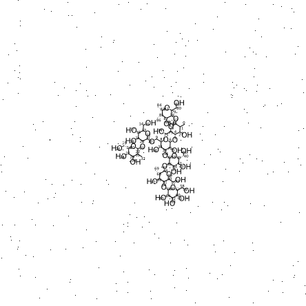 CC1C(O)[C@H](O[C@@H]2OC(CO[C@H]3OC(CO)[C@@H](O)C(O)[C@H]3O[C@@H]3O[C@@H](CO)[C@@H](O)C(O)C3C)[C@@H](O)C(O[C@H]3O[C@H](CO)[C@@H](O)C(O)C3O[C@@H]3OC(CO)[C@@H](O[C@@H]4OC(CO)[C@H](O)C(O)[C@@H]4O)C(O)[C@@H]3C)[C@H]2O)C(CO)O[C@H]1O[C@@H]1C(CO)O[C@@H](C)[C@@H](C)C1O